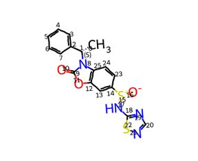 C[C@@H](c1ccccc1)n1c(=O)oc2cc([S+]([O-])Nc3ncns3)ccc21